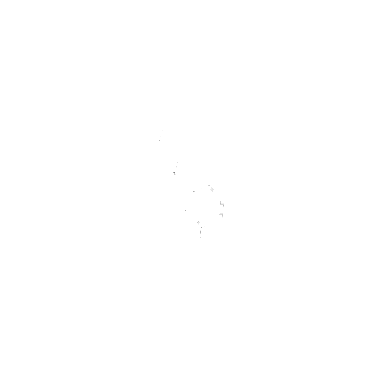 O=C(CCI)c1cccc(C(F)(F)F)c1